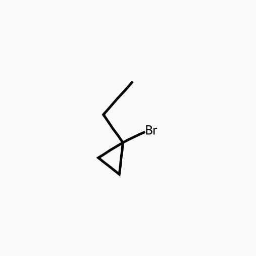 CCC1(Br)CC1